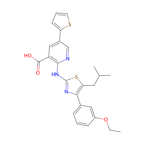 CCOc1cccc(-c2nc(Nc3ncc(-c4cccs4)cc3C(=O)O)sc2CC(C)C)c1